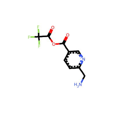 NCc1ccc(C(=O)OC(=O)C(F)(F)F)cn1